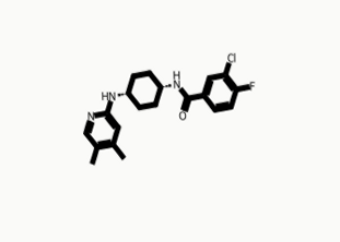 Cc1cnc(N[C@H]2CC[C@@H](NC(=O)c3ccc(F)c(Cl)c3)CC2)cc1C